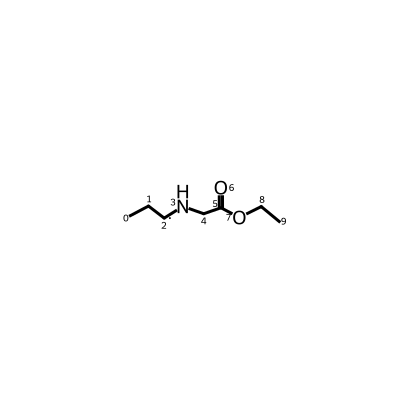 CC[CH]NCC(=O)OCC